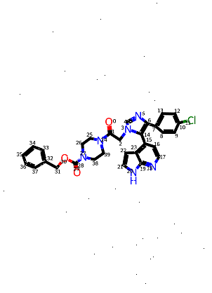 O=C(Cn1cnc(-c2ccc(Cl)cc2)c1-c1ccnc2[nH]ccc12)N1CCN(C(=O)OCc2ccccc2)CC1